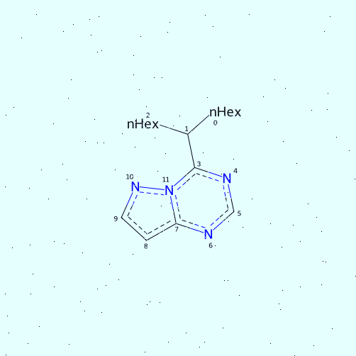 CCCCCCC(CCCCCC)c1ncnc2ccnn12